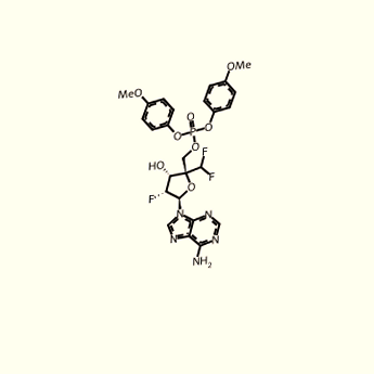 COc1ccc(OP(=O)(OC[C@@]2(C(F)F)O[C@@H](n3cnc4c(N)ncnc43)[C@H](F)[C@@H]2O)Oc2ccc(OC)cc2)cc1